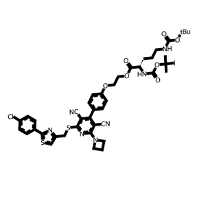 CC(C)(C)OC(=O)NCCC[C@H](NC(=O)OC(C)(C)I)C(=O)OCCOc1ccc(-c2c(C#N)c(SCc3csc(-c4ccc(Cl)cc4)n3)nc(N3CCC3)c2C#N)cc1